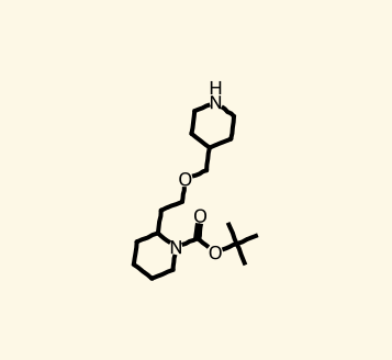 CC(C)(C)OC(=O)N1CCCCC1CCOCC1CCNCC1